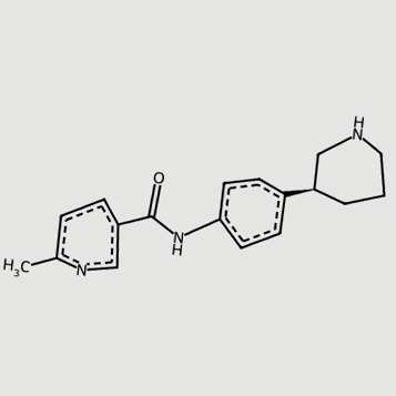 Cc1ccc(C(=O)Nc2ccc([C@@H]3CCCNC3)cc2)cn1